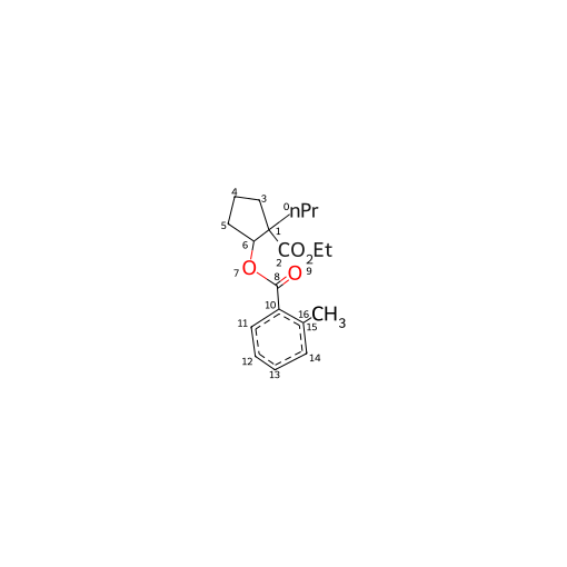 CCCC1(C(=O)OCC)CCCC1OC(=O)c1ccccc1C